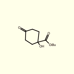 CC(C)COC(=O)C1(O)CCC(=O)CC1